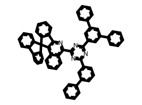 c1ccc(-c2cccc(-c3nc(-c4cc(-c5ccccc5)cc(-c5ccccc5)c4)nc(-c4nc5c(c6ccccc46)C4(c6ccccc6-c6ccccc64)c4ccccc4-5)n3)c2)cc1